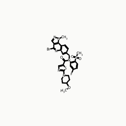 COC1CCN(c2ncc(C(=O)N(Cc3ccc4c(c3)nc(Br)c3cnn(C)c34)c3cc(F)ccc3S(C)(=O)=O)s2)CC1